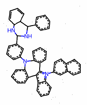 C1=CC2NC(c3cccc(N4c5ccccc5-c5c(n(-c6ccc7ccccc7c6)c6ccccc56)-c5ccccc54)c3)NC(c3ccccc3)C2C=C1